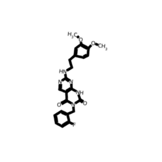 COc1ccc(CCNc2ncc3c(=O)n(Cc4ccccc4F)c(=O)[nH]c3n2)cc1OC